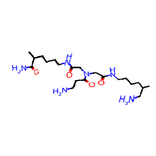 CC(CN)CCCCNC(=O)CN(CC(=O)NCCCCC(C)C(N)=O)C(=O)CCN